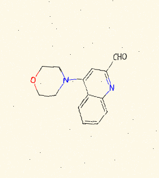 O=Cc1cc(N2CCOCC2)c2ccccc2n1